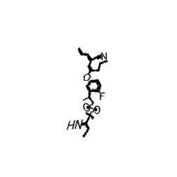 C=C/C=C(C#N)\C=C(/CCC)Oc1ccc(F)c([C@H](C)CS(=O)(=O)C(C)(C)C(=N)CC)c1